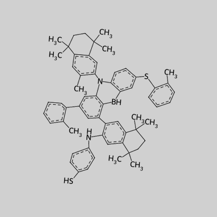 Cc1ccccc1Sc1ccc2c(c1)Bc1c(-c3cc4c(cc3Nc3ccc(S)cc3)C(C)(C)CCC4(C)C)cc(-c3ccccc3C)cc1N2c1cc2c(cc1C)C(C)(C)CCC2(C)C